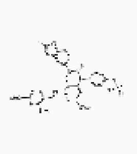 [2H]C([2H])([2H])Oc1ccc(N2C(=O)N(c3ccc4nn(C)cc4c3)Cc3c(NCc4ccc(OC)cc4OC)nc(SC)nc32)cc1